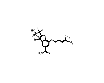 CC(C)=CCCOc1cc(C(N)=O)cc2c(Br)c(C(F)(F)P(=O)(O)O)sc12